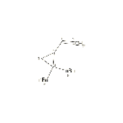 C=CC1CC1(CCCC)CCCC